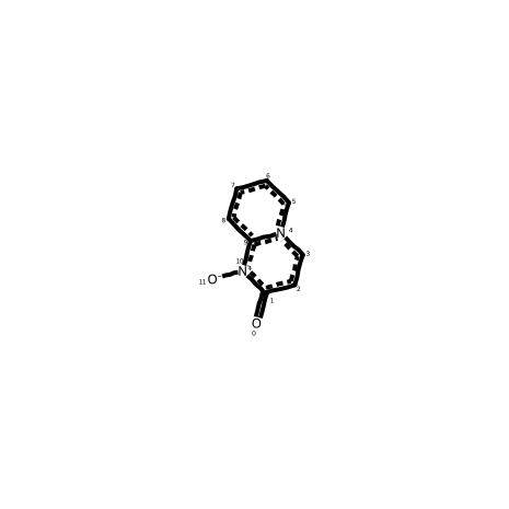 O=c1ccn2ccccc2[n+]1[O-]